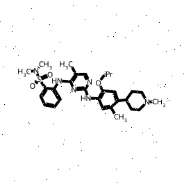 Cc1cc(Nc2ncc(C)c(Nc3ccccc3S(=O)(=O)N(C)C)n2)c(OC(C)C)cc1C1CCN(C)CC1